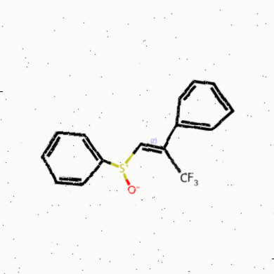 [O-][S+](/C=C(/c1ccccc1)C(F)(F)F)c1ccccc1